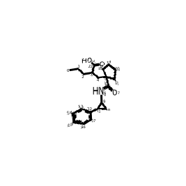 CCCC(CC1(C(=O)NC2CC2c2ccccc2)CCCC1)C(=O)O